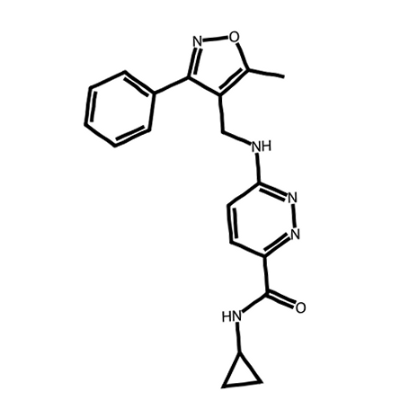 Cc1onc(-c2ccccc2)c1CNc1ccc(C(=O)NC2CC2)nn1